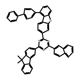 CC1(C)c2ccccc2-c2cc(-c3nc(-c4ccc5ccccc5c4)nc(-c4ccc5c(c4)oc4cccc(-c6ccc(-c7ccccc7)cc6)c45)n3)ccc21